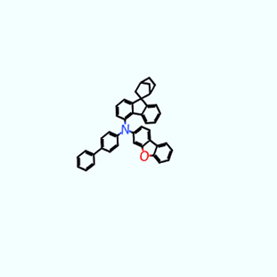 c1ccc(-c2ccc(N(c3ccc4c(c3)oc3ccccc34)c3cccc4c3-c3ccccc3C43CC4CCC3C4)cc2)cc1